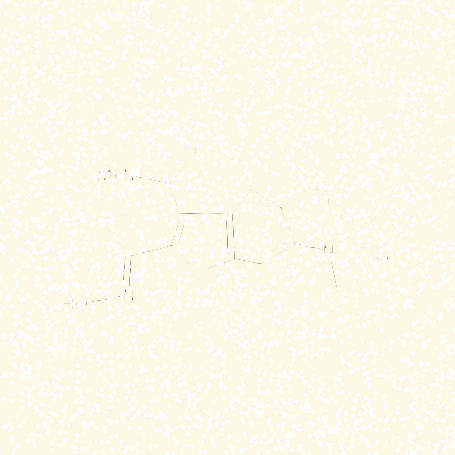 CNC(=O)c1c(/C(Cl)=N/O)oc2cc(N(C)S(C)(=O)=O)c(Br)cc12